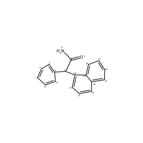 NC(=O)C(c1ccccc1)c1cccc2ccccc12